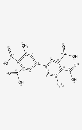 Cc1cc(-c2cc(C)c(C(=O)O)c(C(=O)O)c2)cc(C(=O)O)c1C(=O)O